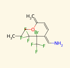 C=C(/C=C\C(=C/N)C(Br)(C(F)(F)F)C(F)(F)F)OCCC